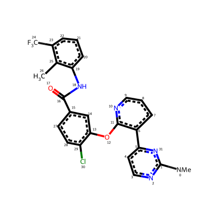 CNc1nccc(-c2cccnc2Oc2cc(C(=O)Nc3cccc(C(F)(F)F)c3C)ccc2Cl)n1